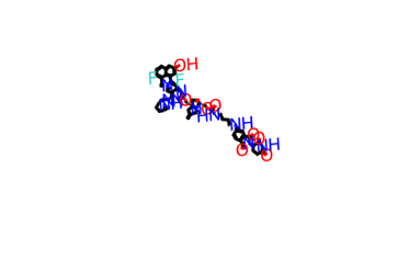 C#Cc1c(F)ccc2cc(O)cc(-c3ncc4c(N5CC6CCC(C5)N6)nc(OC[C@@]56CC[C@@H](COC(=O)NCCCCNc7ccc8c(c7)C(=O)N(C7CCC(=O)NC7=O)C8=O)N5CC(=C)C6)nc4c3F)c12